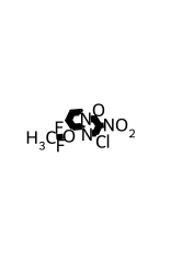 CC(F)(F)Oc1cccn2c(=O)c([N+](=O)[O-])c(Cl)nc12